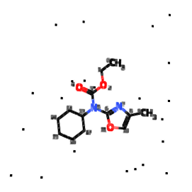 CCOC(=O)N(c1nc(C)co1)C1CCCCC1